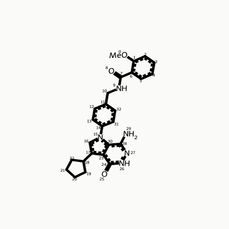 COc1ccccc1C(=O)NCc1ccc(-n2cc(C3CCCC3)c3c(=O)[nH]nc(N)c32)cc1